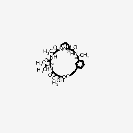 CC(C)[C@@H]1NC(=O)[C@H](C)[C@H](O)CCC=Cc2cccc(c2)[C@@H](C)NC(=O)[C@@H]2CCCN(N2)C(=O)[C@H](C)NC1=O